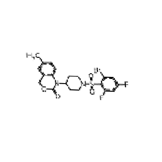 Cc1ccc2c(c1)COC(=O)N2C1CCN(S(=O)(=O)c2c(F)cc(F)cc2Br)CC1